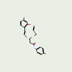 Cc1ccc(NC(=O)[C@H](C)[C@H]2C/C=C/c3ccc(C(F)(F)F)cc3O/C=C/CC2)cc1